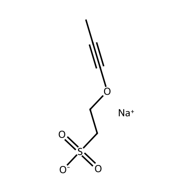 CC#COCCS(=O)(=O)[O-].[Na+]